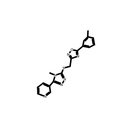 Cc1cccc(-c2nc(CSc3nnc(-c4cccnc4)n3C)no2)c1